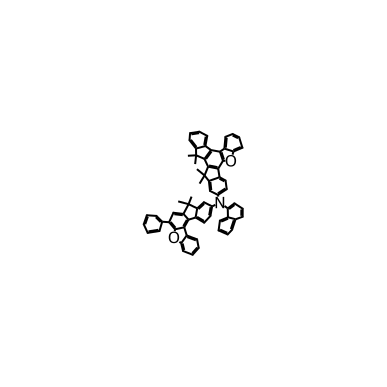 CC1(C)c2cc(N(c3ccc4c(c3)C(C)(C)c3c5c(c6c(oc7ccccc76)c3-4)-c3ccccc3C5(C)C)c3cccc4ccccc34)ccc2-c2c1cc(-c1ccccc1)c1oc3ccccc3c21